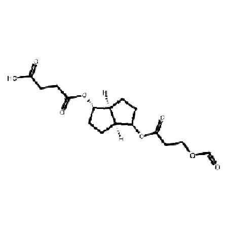 O=COCCC(=O)O[C@@H]1CC[C@H]2[C@@H]1CC[C@@H]2OC(=O)CCC(=O)O